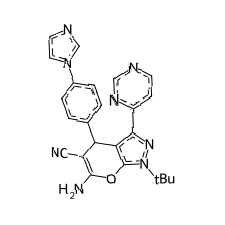 CC(C)(C)n1nc(-c2ccncn2)c2c1OC(N)=C(C#N)C2c1ccc(-n2ccnc2)cc1